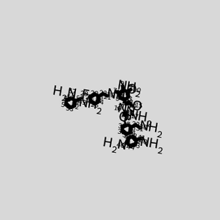 COc1cccc(C)c1N.Cn1ccc(=O)n(N)c1=O.NCCc1cccc(F)c1.NCCc1ccccc1F.NCc1ccc(N)cc1.NCc1ccccc1N